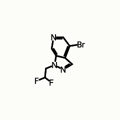 FC(F)Cn1ncc2c(Br)cncc21